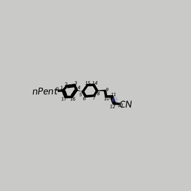 CCCCCc1ccc([C@H]2CC[C@H](CC/C=C/C#N)CC2)cc1